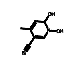 CC1=CC(O)N(O)C=C1C#N